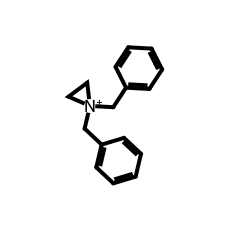 c1ccc(C[N+]2(Cc3ccccc3)CC2)cc1